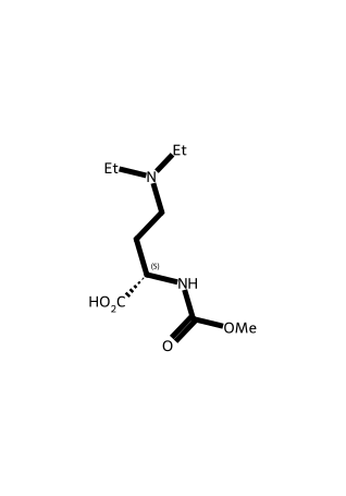 CCN(CC)CC[C@H](NC(=O)OC)C(=O)O